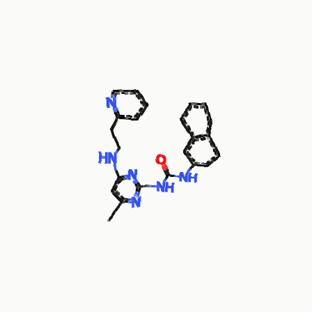 Cc1cc(NCCc2ccccn2)nc(NC(=O)Nc2ccc3ccccc3c2)n1